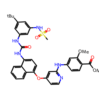 COC(=O)c1ccc(Nc2cc(Oc3ccc(NC(=O)Nc4cc(NS(C)(=O)=O)cc(C(C)(C)C)c4)c4ccccc34)ccn2)cc1OC